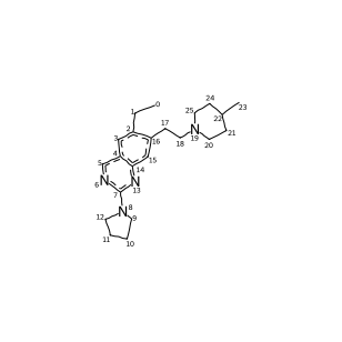 CCc1cc2cnc(N3CCCC3)nc2cc1CCN1CCC(C)CC1